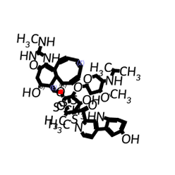 CNC(=N)NC1=C2C#C/C=C\C#C[C@H](OC3OC(C)C(SC)(C(=O)c4nccc5c4[nH]c4ccc(O)cc45)C(O)C3OC3CC(OC)C(NC(C)C)CO3)C2/C(=C\CS(C)(=S)=S)[C@@H](O)CC1=O